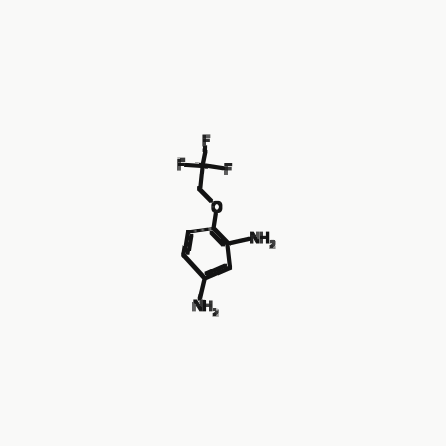 Nc1ccc(OCC(F)(F)F)c(N)c1